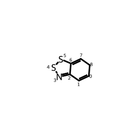 C1=CC2=NSSC2=CC1